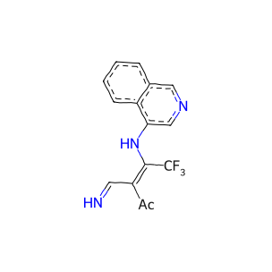 CC(=O)/C(C=N)=C(/Nc1cncc2ccccc12)C(F)(F)F